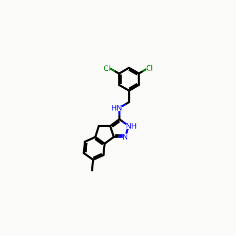 Cc1ccc2c(c1)-c1n[nH]c(NCc3cc(Cl)cc(Cl)c3)c1C2